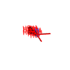 CCCCCCCCCCCCC/C=C/[C@@H](O)[C@H](CO[C@@H]1OC(CO)[C@@H](O[C@@H]2OC(CO)[C@H](O)[C@H](O[C@@H]3OC(CO)[C@@H](O[C@@H]4OC(CO[C@]5(C(=O)O)CC(O)[C@@H](O)C([C@H](O)[C@H](O)CO)O5)[C@H](O)[C@H](O)C4O)[C@H](O)C3NC(C)=O)C2O)[C@H](O)C1O)NC(=O)CCCCCCCCCCCCCCCCCCCCCCCCC